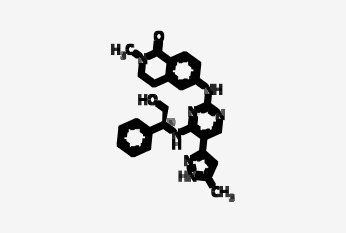 Cc1cc(-c2cnc(Nc3ccc4c(c3)CCN(C)C4=O)nc2N[C@H](CO)c2ccccc2)n[nH]1